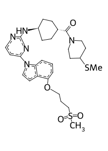 CSC1CCN(C(=O)[C@H]2CC[C@H](Nc3nccc(-n4ccc5c(OCCCS(C)(=O)=O)cccc54)n3)CC2)CC1